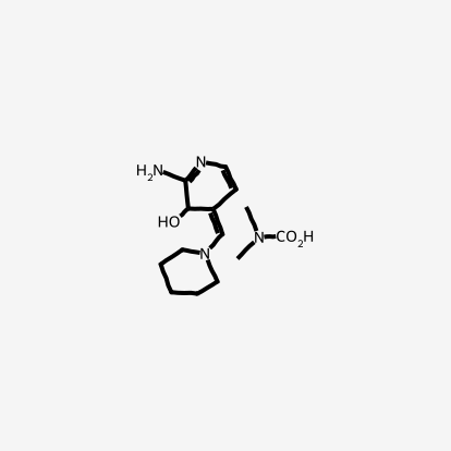 CN(C)C(=O)O.NC1=NC=CC(=CN2CCCCC2)C1O